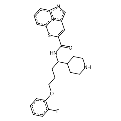 O=C(NC(CCCOc1ccccc1F)C1CCNCC1)C1=Cc2cnc3cccc(n23)S1